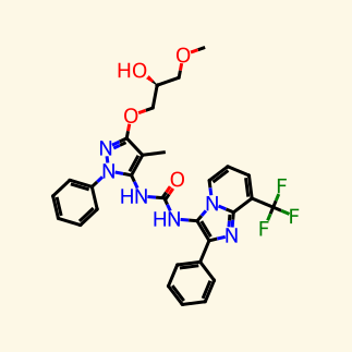 COC[C@H](O)COc1nn(-c2ccccc2)c(NC(=O)Nc2c(-c3ccccc3)nc3c(C(F)(F)F)cccn23)c1C